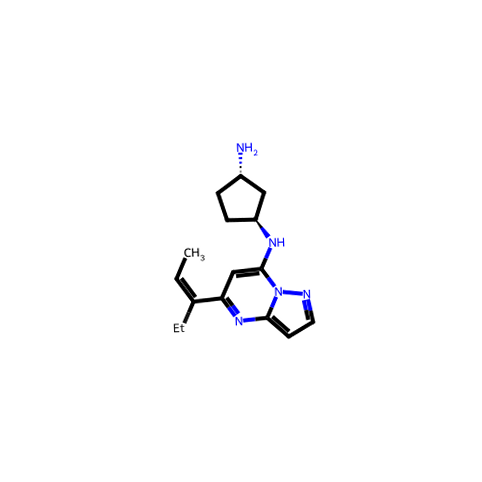 C/C=C(/CC)c1cc(N[C@H]2CC[C@H](N)C2)n2nccc2n1